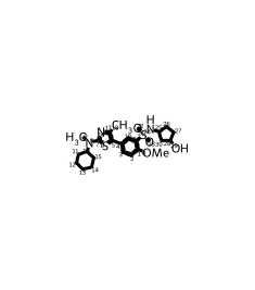 COc1ccc(-c2sc(N(C)C3CCCCC3)nc2C)cc1S(=O)(=O)NC1CCC(O)C1